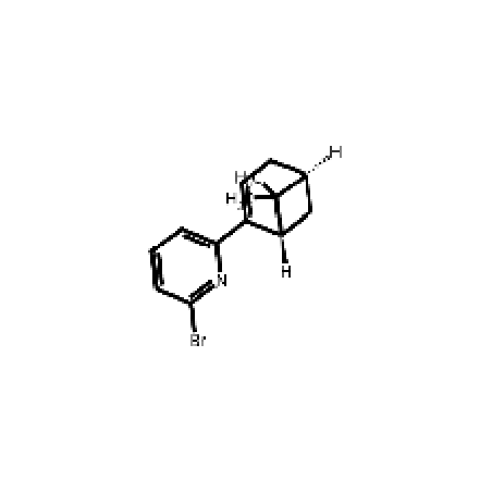 CC1(C)[C@H]2CC=C(c3cccc(Br)n3)[C@H]1C2